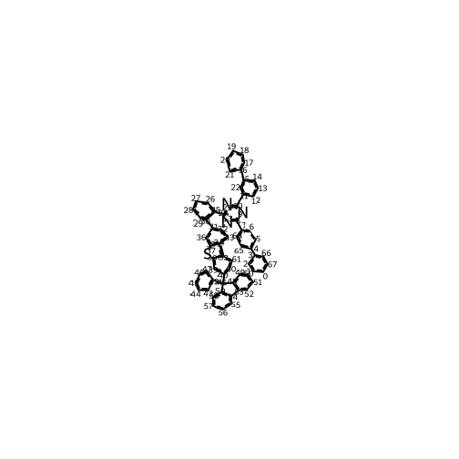 c1ccc(-c2ccc(-c3nc(-c4cccc(-c5ccccc5)c4)nc(-c4ccccc4-c4ccc5c(c4)sc4cc(C6(c7ccccc7)c7ccccc7-c7ccccc76)ccc45)n3)cc2)cc1